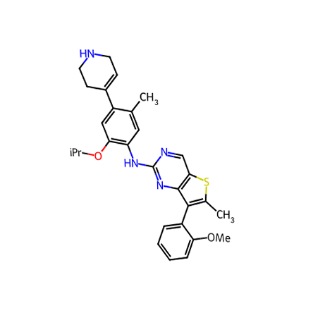 COc1ccccc1-c1c(C)sc2cnc(Nc3cc(C)c(C4=CCNCC4)cc3OC(C)C)nc12